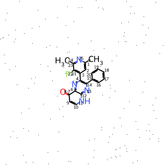 Cc1cc(-c2nc3c(=O)cc[nH]c3nc2-c2ccccc2)c(F)c(C)n1